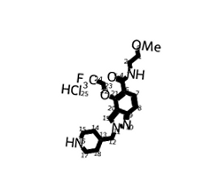 COCCNC(=O)c1ccc2nn(CC3CCNCC3)cc2c1OCC(F)(F)F.Cl